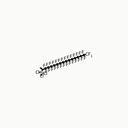 CC(C(F)(F)C(F)(F)C(F)(F)C(F)(F)C(F)(F)C(F)(F)C(F)(F)C(F)(F)C(F)(F)C(F)(F)C(F)(F)C(F)(F)C(F)(F)C(F)(F)C(F)(F)F)[Si](Cl)(Cl)Cl